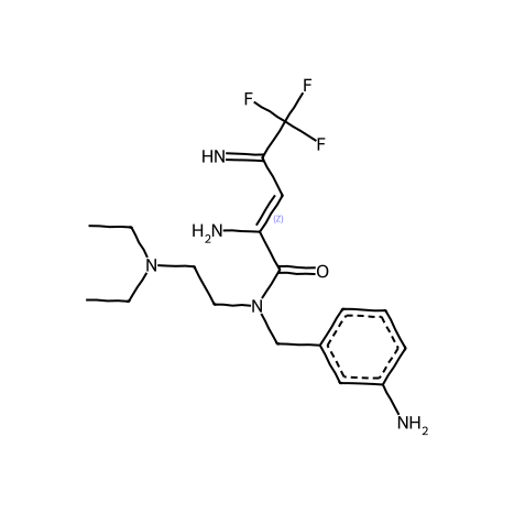 CCN(CC)CCN(Cc1cccc(N)c1)C(=O)/C(N)=C/C(=N)C(F)(F)F